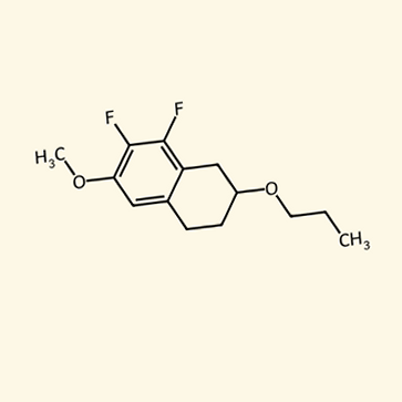 CCCOC1CCc2cc(OC)c(F)c(F)c2C1